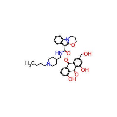 CCCCN1CCC(CNC(=O)c2c3n(c4ccccc24)CCCO3)CC1.O=C1c2cccc(O)c2C(=O)c2c(O)cc(CO)cc21